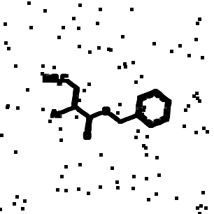 CCOC(=O)C=C(C(C)=O)C(=O)OCc1ccccc1